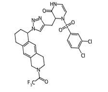 O=C1NC=CN(S(=O)(=O)c2ccc(Cl)c(Cl)c2)C1Cc1cn(C2CCCc3cc4c(cc32)CCN(C(=O)C(F)(F)F)C4)nn1